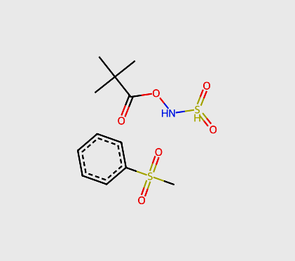 CC(C)(C)C(=O)ON[SH](=O)=O.CS(=O)(=O)c1ccccc1